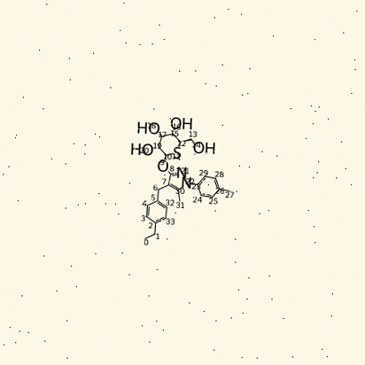 CCc1ccc(Cc2c(O[C@@H]3S[C@H](CO)[C@@H](O)[C@H](O)[C@H]3O)nn(-c3ccc(C)cc3)c2C)cc1